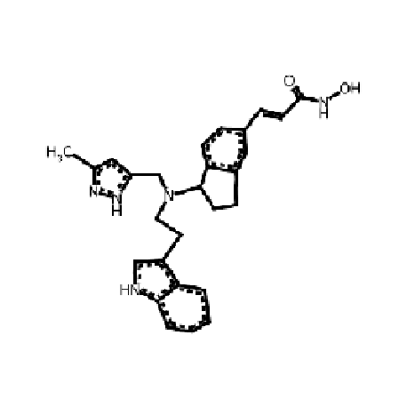 Cc1cc(CN(CCc2c[nH]c3ccccc23)C2CCc3cc(/C=C/C(=O)NO)ccc32)[nH]n1